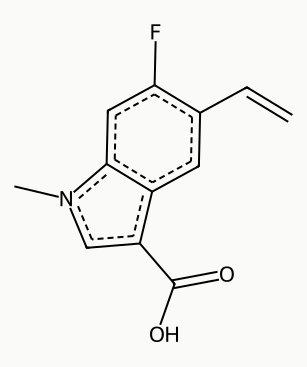 C=Cc1cc2c(C(=O)O)cn(C)c2cc1F